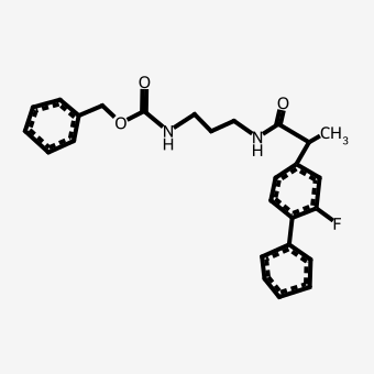 CC(C(=O)NCCCNC(=O)OCc1ccccc1)c1ccc(-c2ccccc2)c(F)c1